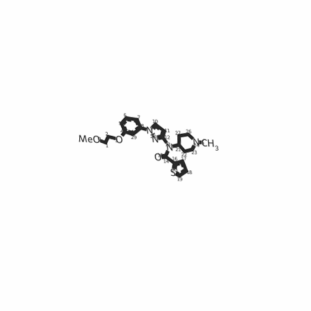 COCCOc1cccc(-n2ccc(N(C(=O)c3cccs3)C3CCN(C)CC3)n2)c1